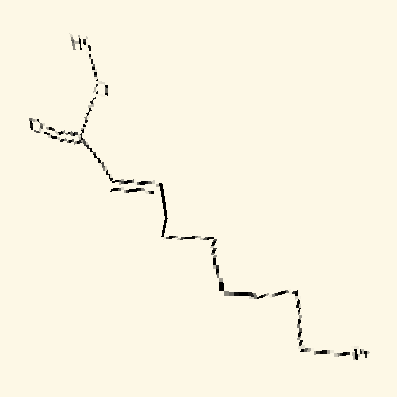 CC(C)CCCCCC=CC(=O)OS